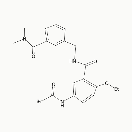 CCOc1ccc(NC(=O)C(C)C)cc1C(=O)NCc1cccc(C(=O)N(C)C)c1